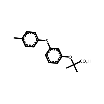 Cc1ccc(Sc2cccc(OC(C)(C)C(=O)O)c2)cc1